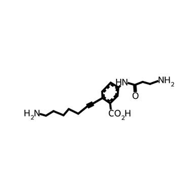 NCCCCCC#Cc1ccc(NC(=O)CCN)cc1C(=O)O